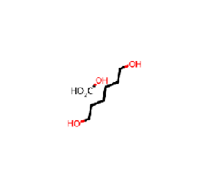 O=C(O)O.OCCCCCCO